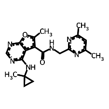 Cc1cc(C)nc(CNC(=O)c2c(C)oc3ncnc(NC4(C)CC4)c23)n1